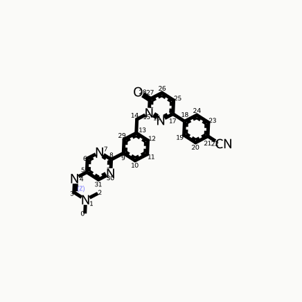 CN(C)/C=N\c1cnc(-c2cccc(Cn3nc(-c4ccc(C#N)cc4)ccc3=O)c2)nc1